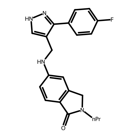 CCCN1Cc2cc(NCc3c[nH]nc3-c3ccc(F)cc3)ccc2C1=O